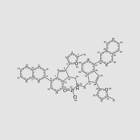 Cc1ccc(C2=Cc3c(-c4ccc5ccccc5c4)cccc3C2C[SiH](CC2C(c3ccc(C)o3)=Cc3c(-c4ccc5ccccc5c4)cccc32)[Zr]([Cl])[Cl])o1